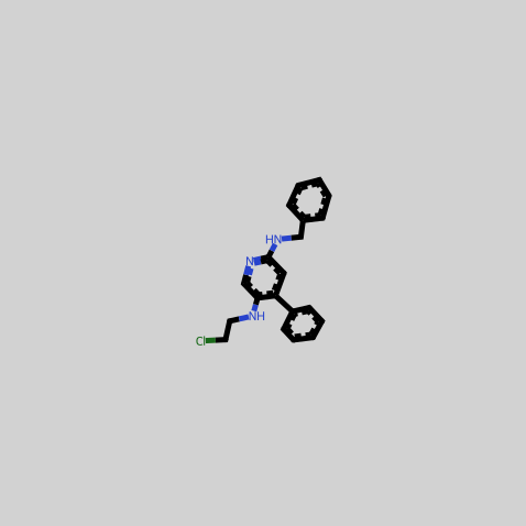 ClCCNc1cnc(NCc2ccccc2)cc1-c1ccccc1